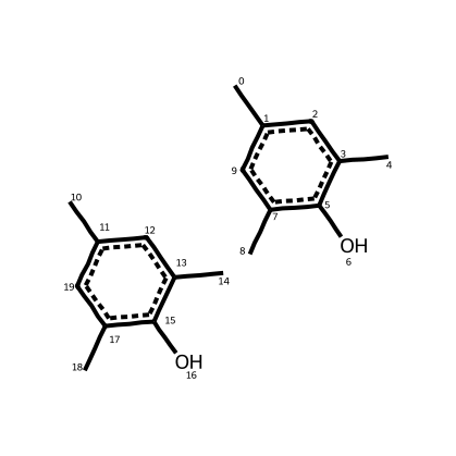 Cc1cc(C)c(O)c(C)c1.Cc1cc(C)c(O)c(C)c1